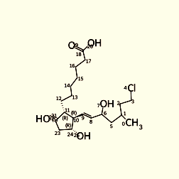 CC(CCCl)CC(O)C=C[C@@H]1[C@@H](CCCCCCC(=O)O)[C@@H](O)C[C@H]1O